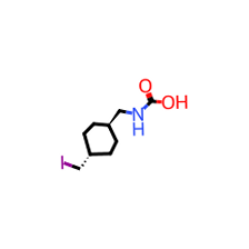 O=C(O)NC[C@H]1CC[C@H](CI)CC1